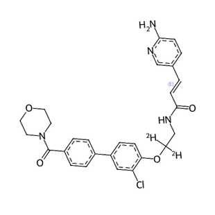 [2H]C([2H])(CNC(=O)/C=C/c1ccc(N)nc1)Oc1ccc(-c2ccc(C(=O)N3CCOCC3)cc2)cc1Cl